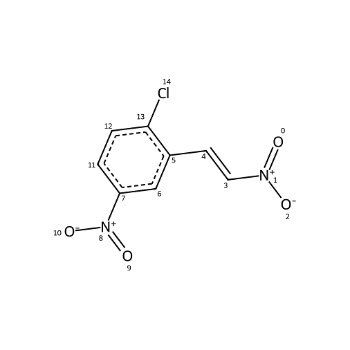 O=[N+]([O-])/C=C/c1cc([N+](=O)[O-])ccc1Cl